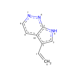 C=Cc1c[nH]c2nnccc12